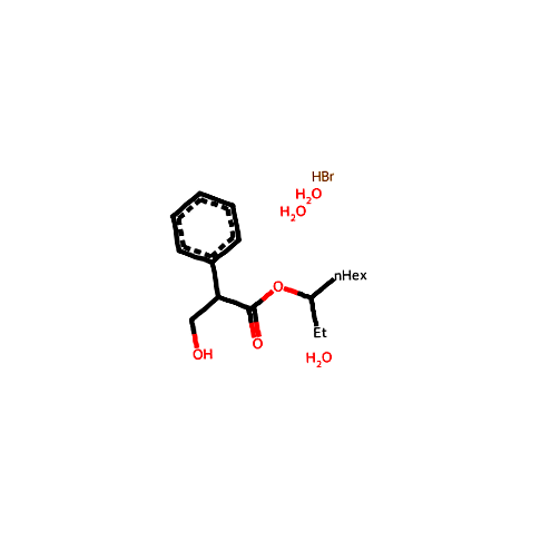 Br.CCCCCCC(CC)OC(=O)C(CO)c1ccccc1.O.O.O